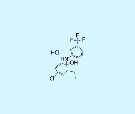 CCC1C=C(Cl)C=CC1(O)Nc1cccc(C(F)(F)F)c1.Cl